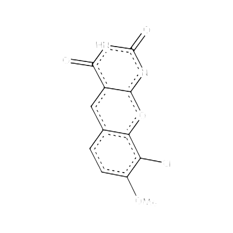 COc1ccc2cc3c(=O)[nH]c(=O)nc-3oc2c1Cl